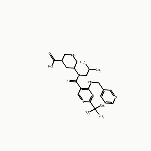 CC(C)CN(C(=O)c1cnc(C(C)(C)C)nc1NCc1cccnc1)C1CNCC(C(=O)O)C1